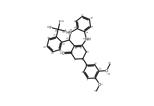 COc1ccc(C2CC(=O)C3=C(C2)Nc2ccccc2NC3c2ccccc2C(F)(F)F)cc1OC